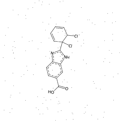 O=C(O)c1ccc2nc(C3(Cl)C=CC=CC3Cl)[nH]c2c1